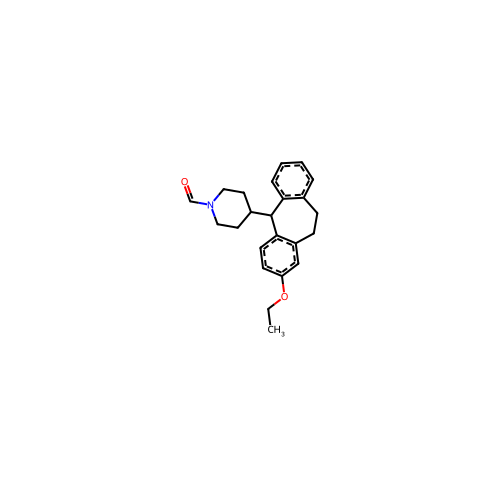 CCOc1ccc2c(c1)CCc1ccccc1C2C1CCN(C=O)CC1